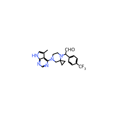 Cc1c[nH]c2ncnc(N3CCN(C(C=O)c4ccc(C(F)(F)F)cc4)C4(CC4)C3)c12